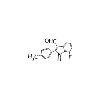 Cc1ccc(-c2[nH]c3c(F)cccc3c2C=O)cc1